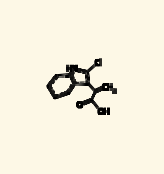 C=C(C(=O)O)c1c(Cl)[nH]c2ccccc12